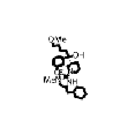 CNCC(CC1CCCCC1)NC(=O)N1CCC[C@@H](C(O)(CCCCOC)c2cccc(C(F)(F)F)c2)C1